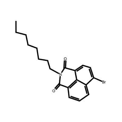 CCCCCCCCN1C(=O)c2cccc3c(Br)ccc(c23)C1=O